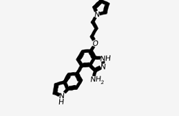 Nc1n[nH]c2c(OCCCn3cccc3)ccc(-c3ccc4[nH]ccc4c3)c12